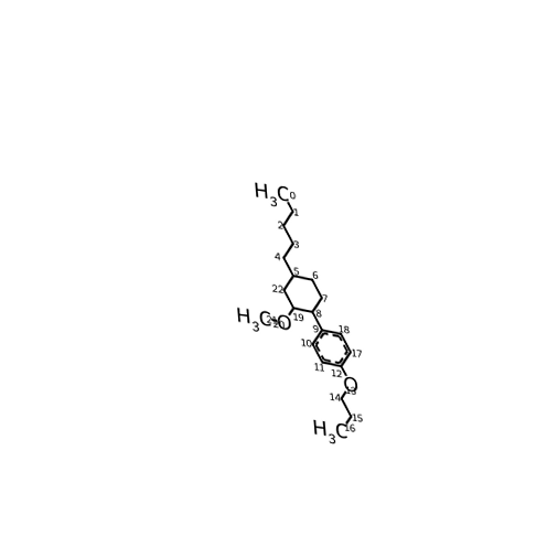 CCCCCC1CCC(c2ccc(OCCC)cc2)C(OC)C1